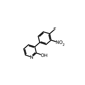 O=[N+]([O-])c1cc(-c2cccnc2O)ccc1F